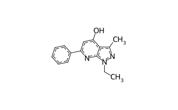 CCn1nc(C)c2c(O)cc(-c3ccccc3)nc21